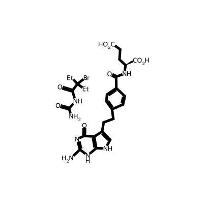 CCC(Br)(CC)C(=O)NC(N)=O.Nc1nc(=O)c2c(CCc3ccc(C(=O)N[C@@H](CCC(=O)O)C(=O)O)cc3)c[nH]c2[nH]1